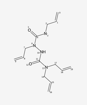 C=CC[N]C(=O)N(CC=C)NC(=O)N(CC=C)CC=C